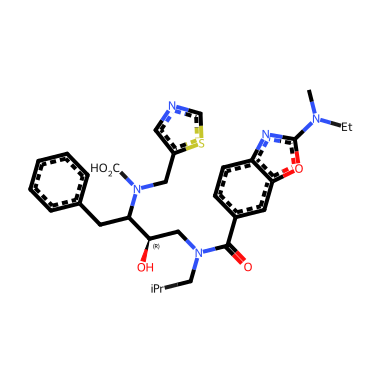 CCN(C)c1nc2ccc(C(=O)N(CC(C)C)C[C@@H](O)C(Cc3ccccc3)N(Cc3cncs3)C(=O)O)cc2o1